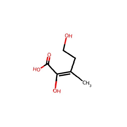 CC(CCO)=C(O)C(=O)O